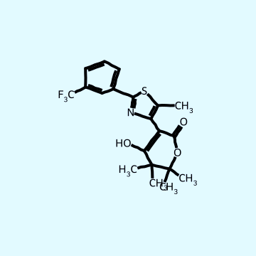 Cc1sc(-c2cccc(C(F)(F)F)c2)nc1C1=C(O)C(C)(C)C(C)(C)OC1=O